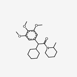 COc1cc(C(C(=O)N2CCCCC2C)C2CCCCC2)cc(OC)c1OC